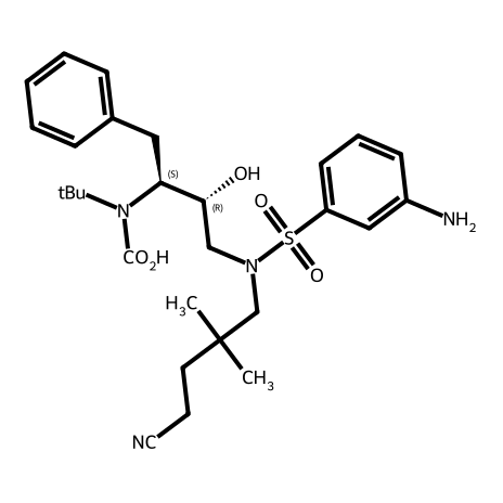 CC(C)(CCC#N)CN(C[C@@H](O)[C@H](Cc1ccccc1)N(C(=O)O)C(C)(C)C)S(=O)(=O)c1cccc(N)c1